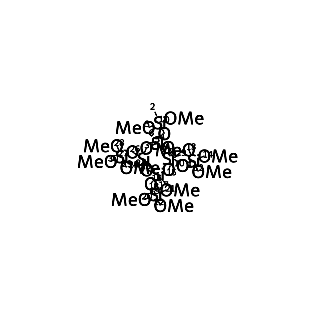 CO[Si](C)(OC)O[Si]1(C)O[Si](C)(O[Si](OC)(OC)OC)O[Si](C)(O[Si](OC)(OC)OC)O[Si](C)(O[Si](OC)(OC)OC)O1